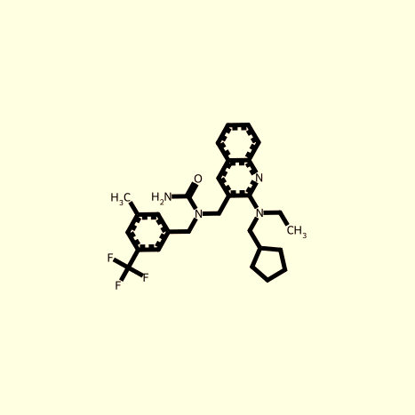 CCN(CC1CCCC1)c1nc2ccccc2cc1CN(Cc1cc(C)cc(C(F)(F)F)c1)C(N)=O